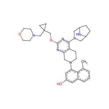 Cc1cccc2cc(O)cc(N3CCc4c(nc(OCC5(CN6CCOCC6)CC5)nc4N4CC5CCC(C4)N5)C3)c12